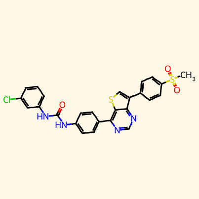 CS(=O)(=O)c1ccc(-c2csc3c(-c4ccc(NC(=O)Nc5cccc(Cl)c5)cc4)ncnc23)cc1